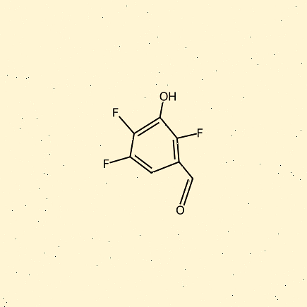 O=Cc1cc(F)c(F)c(O)c1F